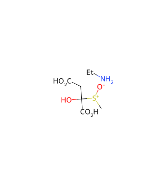 CCN.C[S+]([O-])C(O)(CC(=O)O)C(=O)O